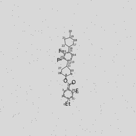 CCc1ccc(C(=O)OC2CCC(c3ccc(C4CCC(C)CC4)c(F)c3F)CC2)c(F)c1